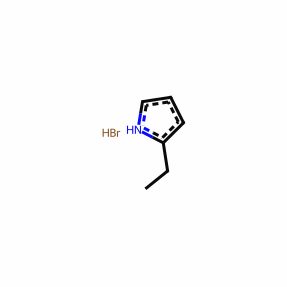 Br.CCc1ccc[nH]1